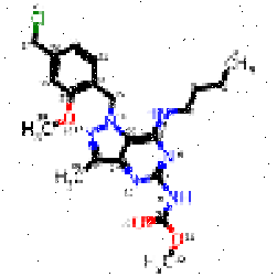 CCCCNc1nc(NC(=O)OC)nc2c(C)nn(Cc3ccc(CCl)cc3OC)c12